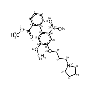 COC(=O)c1cccnc1-c1cc(OC)c(OCCCN2CCCC2)cc1[N+](=O)[O-]